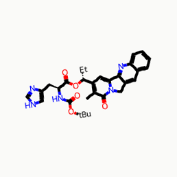 CC[C@@H](OC(=O)[C@H](Cc1c[nH]cn1)NC(=O)OC(C)(C)C)c1cc2n(c(=O)c1C)Cc1cc3ccccc3nc1-2